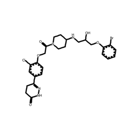 O=C1CCC(c2ccc(OCC(=O)N3CCC(NCC(O)COc4ccccc4Br)CC3)c(Cl)c2)=NN1